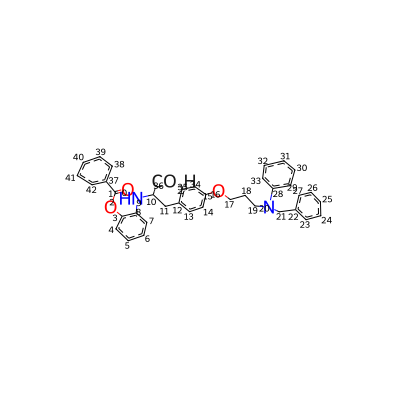 O=C(Oc1ccccc1NC(Cc1ccc(OCCCN(Cc2ccccc2)c2ccccc2)cc1)C(=O)O)c1ccccc1